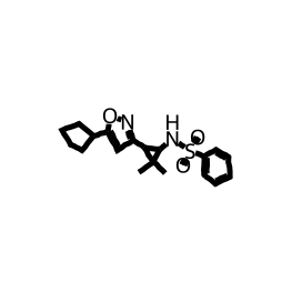 CC1(C)C(NS(=O)(=O)c2ccccc2)C1c1cc(C2CCCC2)on1